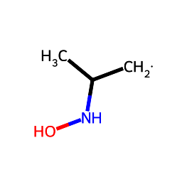 [CH2]C(C)NO